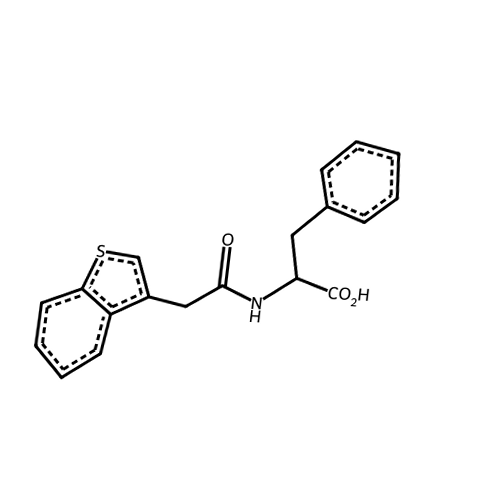 O=C(Cc1csc2ccccc12)NC(Cc1ccccc1)C(=O)O